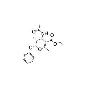 CCOC(=O)C1=C(C)O[C@H](Oc2ccccc2)[C@H](C)[C@H]1NC(C)=O